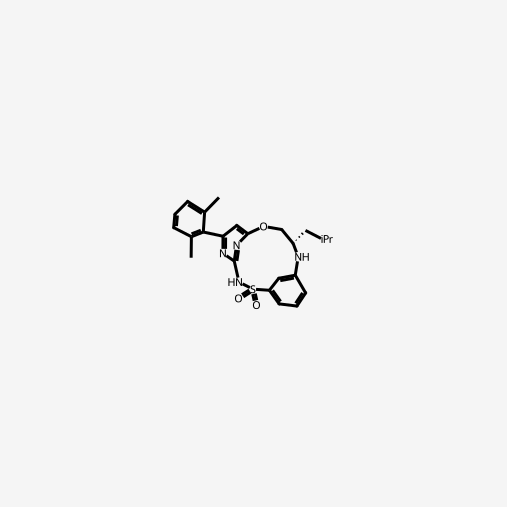 Cc1cccc(C)c1-c1cc2nc(n1)NS(=O)(=O)c1cccc(c1)N[C@@H](CC(C)C)CO2